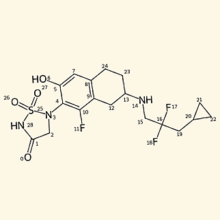 O=C1CN(c2c(O)cc3c(c2F)CC(NCC(F)(F)CC2CC2)CC3)S(=O)(=O)N1